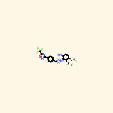 CC1=C(C)/C(=N/NCc2ccc(-c3noc(C(F)(F)F)n3)cc2)C(=N)C=C1